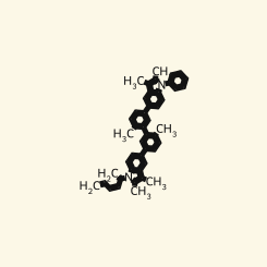 C=C/C=C\C(=C)n1c(C)c(C)c2cc(-c3ccc(C)c(-c4cc(-c5ccc6c(c5)c(C)c(C)n6-c5ccccc5)ccc4C)c3)ccc21